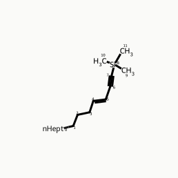 CCCCCCCCCC/C=C/C#C[Si](C)(C)C